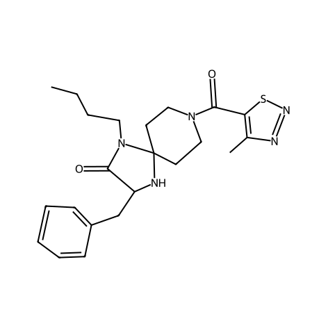 CCCCN1C(=O)C(Cc2ccccc2)NC12CCN(C(=O)c1snnc1C)CC2